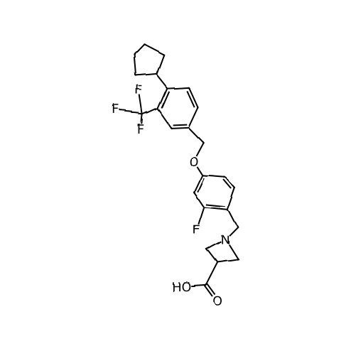 O=C(O)C1CN(Cc2ccc(OCc3ccc(C4CCCC4)c(C(F)(F)F)c3)cc2F)C1